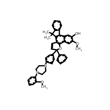 COc1cc2c3c(c4c(c2cc1O)-c1ccccc1C4(C)C)C=CC(c1ccccc1)(c1ccc(N2CCN(c4ccccc4OC)CC2)cc1)O3